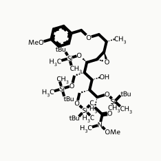 COc1ccc(COC[C@H](C)[C@H]2O[C@@H]2[C@@H](O[Si](C)(C)C(C)(C)C)[C@@H](CO[Si](C)(C)C(C)(C)C)[C@H](O)[C@@H](CO[Si](C)(C)C(C)(C)C)[C@@H](CC(=O)N(C)OC)O[Si](C)(C)C(C)(C)C)cc1